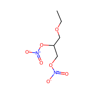 CCOCC(CO[N+](=O)[O-])O[N+](=O)[O-]